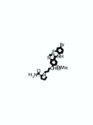 COc1cc2c(Nc3ccc(Br)cc3F)ncnc2cc1OCCCN1CCC[C@H]1C(N)=O.Cl